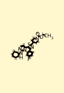 CCOC(=O)N1CCC(c2nc(-c3ccc(F)cc3)c(-c3ccnc(NC4CCCCCC4)n3)s2)CC1